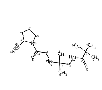 CC(C)(CNC(=O)C(C)(C)C)NCC(=O)N1CCCC1C#N